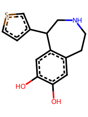 Oc1cc2c(cc1O)C(c1ccsc1)CNCC2